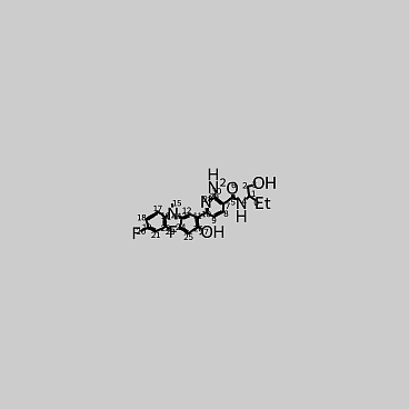 CCC(CO)NC(=O)c1ccc(-c2cc(N(C)c3ccc(F)cc3F)ccc2O)nc1N